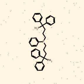 PC(CCCP(CCCC(P)(c1ccccc1)c1ccccc1)c1ccccc1)(c1ccccc1)c1ccccc1